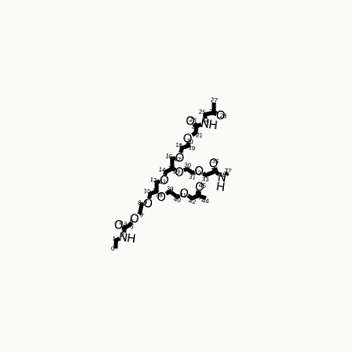 CCNC(=O)COCCOCC(COCC(COCCOCC(=O)NCC(C)=O)OCCOCC(=O)NC)OCCOCC(C)=O